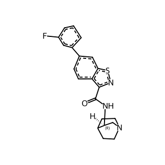 O=C(N[C@H]1CN2CCC1CC2)c1nsc2cc(-c3cccc(F)c3)ccc12